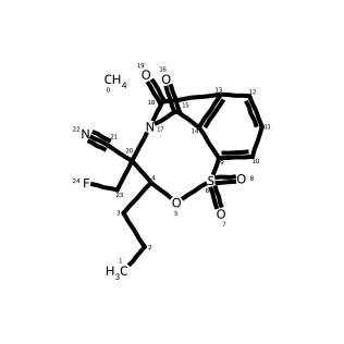 C.CCCC1OS(=O)(=O)c2cccc3c2C(=O)N(C3=O)C1(C#N)CF